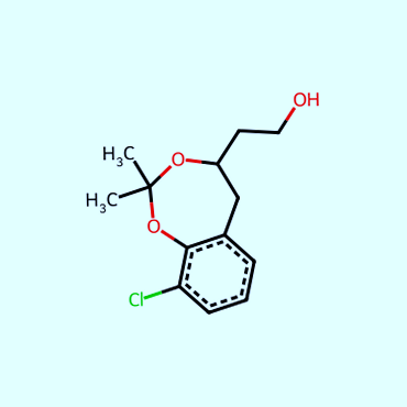 CC1(C)Oc2c(Cl)cccc2CC(CCO)O1